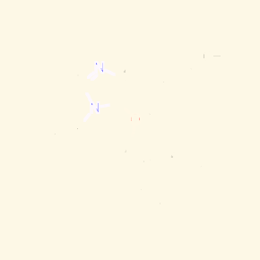 C#CCCc1nc2ccccn2c1OCc1ccccc1